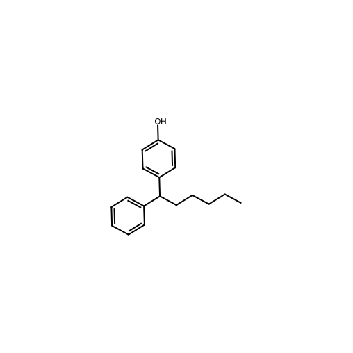 CCCCCC(c1ccccc1)c1ccc(O)cc1